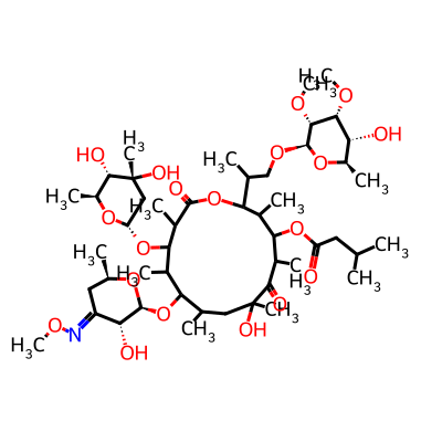 CON=C1C[C@@H](C)O[C@@H](OC2C(C)CC(C)(O)C(=O)C(C)C(OC(=O)CC(C)C)C(C)C(C(C)CO[C@@H]3O[C@H](C)[C@@H](O)[C@@H](OC)[C@H]3OC)OC(=O)C(C)C(O[C@H]3C[C@@](C)(O)[C@@H](O)[C@H](C)O3)C2C)[C@@H]1O